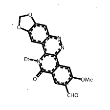 CCn1c(=O)c2cc(C=O)c(OC)cc2c2nnc3cc4c(cc3c21)OCO4